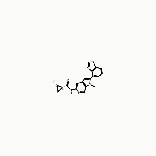 Cn1c(-c2cccc3c2N=CC3)cc2cc(NC(=O)[C@@H]3C[C@@H]3F)ncc21